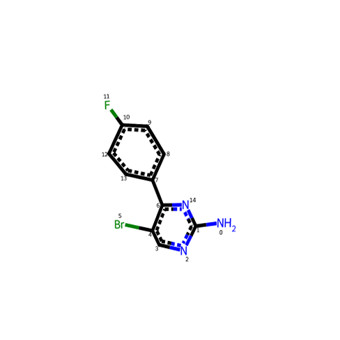 Nc1ncc(Br)c(-c2ccc(F)cc2)n1